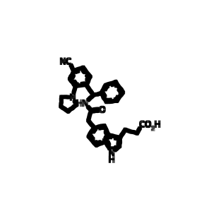 N#Cc1ccc(C(NC(=O)Cc2ccc3[nH]cc(CCC(=O)O)c3c2)c2ccccc2)c(N2CCCC2)c1